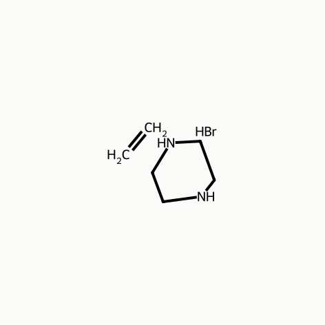 Br.C1CNCCN1.C=C